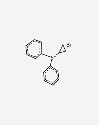 [Br-].c1ccc([S+](c2ccccc2)C2CC2)cc1